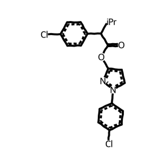 CC(C)C(C(=O)Oc1ccn(-c2ccc(Cl)cc2)n1)c1ccc(Cl)cc1